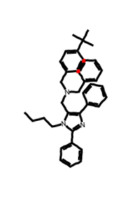 CCCCn1c(-c2ccccc2)nc(-c2ccccc2)c1CN(Cc1ccccc1)Cc1ccc(C(C)(C)C)cc1